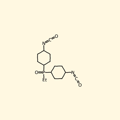 CCP(=O)(C1CCC(N=C=O)CC1)C1CCC(N=C=O)CC1